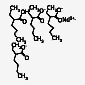 CCCCC(CC)C(=O)O.CCCCC(CC)C(=O)[O-].CCCCC(CC)C(=O)[O-].CCCCC(CC)C(=O)[O-].[Nd+3]